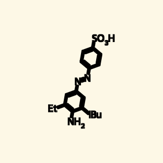 CCc1cc(/N=N/c2ccc(S(=O)(=O)O)cc2)cc(C(C)CC)c1N